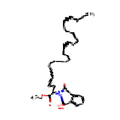 CC/C=C\C/C=C\C/C=C\C/C=C\C/C=C\C/C=C\CC(C(=O)OCC)N1C(=O)c2ccccc2C1=O